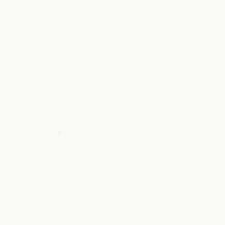 CCc1ccc(-c2ccccc2CO)c(Cl)c1